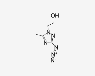 Cc1nc(N=[N+]=[N-])nn1CCO